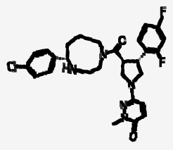 Cn1nc(N2C[C@@H](C(=O)N3CCC[C@@H](c4ccc(Cl)cc4)NCC3)[C@H](c3ccc(F)cc3F)C2)ccc1=O